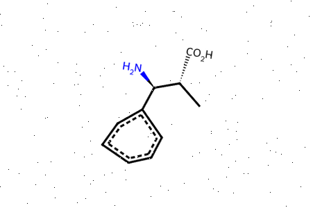 C[C@@H](C(=O)O)[C@H](N)c1ccccc1